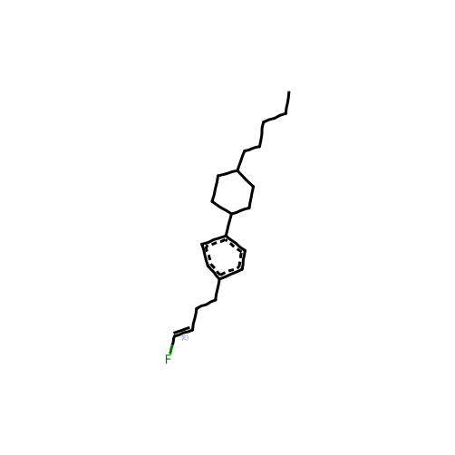 CCCCCC1CCC(c2ccc(CC/C=C/F)cc2)CC1